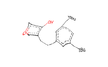 CC(C)(C)c1cc(Cc2cocc2O)cc(C(C)(C)C)c1